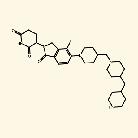 O=C1CCC(N2Cc3c(ccc(N4CCC(CN5CCC(CC6CCNCC6)CC5)CC4)c3F)C2=O)C(=O)N1